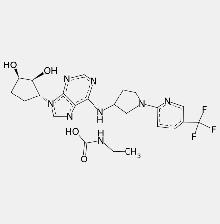 CCNC(=O)O.O[C@@H]1[C@H](O)CC[C@H]1n1cnc2c(NC3CCN(c4ccc(C(F)(F)F)cn4)C3)ncnc21